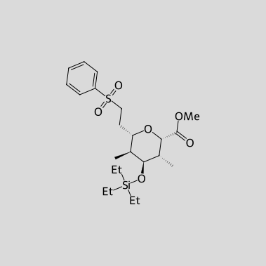 CC[Si](CC)(CC)O[C@H]1[C@@H](C)[C@H](CCS(=O)(=O)c2ccccc2)O[C@H](C(=O)OC)[C@@H]1C